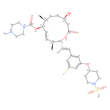 C/C(=C\c1cc(F)cc(OC2CCN(S(C)(=O)=O)CC2)c1)[C@H]1OC(=O)C[C@H](O)CC[C@H](C)[C@H](OC(=O)N2CCN(C)CC2)/C=C/[C@@H]1C